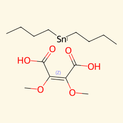 CCC[CH2][Sn][CH2]CCC.CO/C(C(=O)O)=C(\OC)C(=O)O